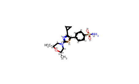 C[C@@H]1CN(c2nc(C3CC3)c(-c3ccc(S(N)(=O)=O)cc3)s2)C[C@H](C)O1